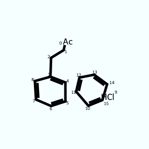 CC(=O)CCc1ccccc1.Cl.c1ccccc1